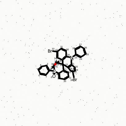 O=P1(c2ccccc2)c2ccccc2C2(c3cc(Br)ccc3N(c3ccccc3)c3ccc(Br)cc32)c2ccccc21